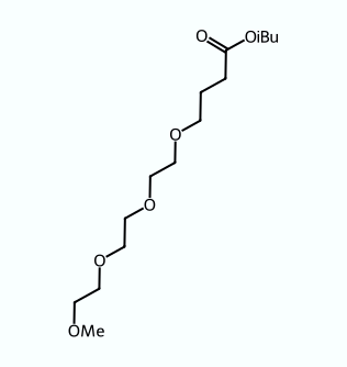 COCCOCCOCCOCCCC(=O)OCC(C)C